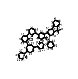 CC1(C)c2ccccc2-c2cc3c4cc(-c5cccc6c5sc5c(C7=CC(c8ccccn8)=CCC(c8ccccn8)=C7)cccc56)ccc4n(-c4ccccc4)c3cc21